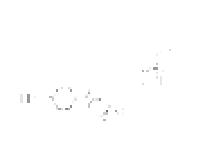 Cc1ccc(S(=O)(=O)C(CCCCOC2(C)CCCCC2)C(=O)O)cc1